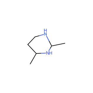 CC1CCNC(C)N1